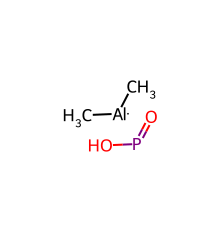 O=PO.[CH3][Al][CH3]